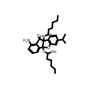 CCCCCC(=O)NC12C(=O)c3c(N)cccc3C1(OC(O)CCCCC)Oc1cc(C(C)C)ccc12